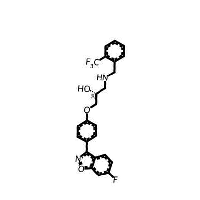 O[C@H](CNCc1ccccc1C(F)(F)F)COc1ccc(-c2noc3cc(F)ccc23)cc1